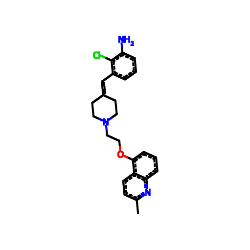 Cc1ccc2c(OCCN3CCC(=Cc4cccc(N)c4Cl)CC3)cccc2n1